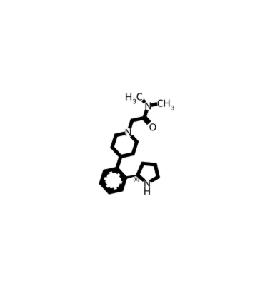 CN(C)C(=O)CN1CCC(c2ccccc2[C@H]2CCCN2)CC1